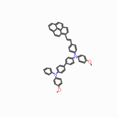 COc1ccc(N(c2ccccc2)c2ccc(-c3ccc(N(c4ccc(C=Cc5ccc6ccc7cccc8ccc5c6c78)cc4)c4ccc(OC)cc4)cc3)cc2)cc1